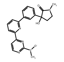 CN1CCC(O)(c2cccc(-c3cccc(-c4ccnc([S+](C)[O-])n4)n3)c2)C1=O